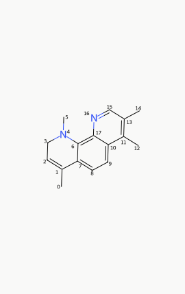 CC1=CCN(C)c2c1ccc1c(C)c(C)cnc21